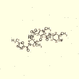 Cc1nnc(C(=O)N2C[C@@H]3NS(=O)(=O)c4cn(C)c(C(=O)Nc5ccc(F)c(C)c5)c4OC[C@]3(C)C2)o1